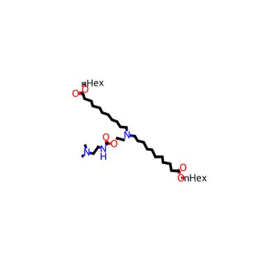 CCCCCCOC(=O)CCCCCCCCCCN(CCCCCCCCCCC(=O)OCCCCCC)CCOC(=O)NCCN(C)C